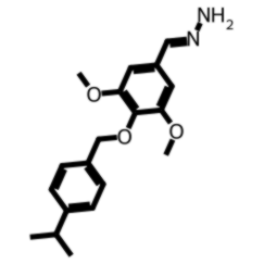 COc1cc(C=NN)cc(OC)c1OCc1ccc(C(C)C)cc1